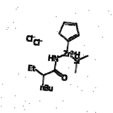 CCCCC(CC)C(=O)[NH][Zr+2]([C]1=CC=CC1)[SiH](C)C.[Cl-].[Cl-]